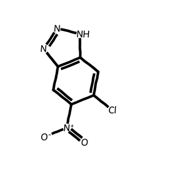 O=[N+]([O-])c1cc2nn[nH]c2cc1Cl